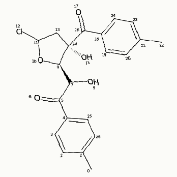 Cc1ccc(C(=O)C(O)[C@H]2OC(Cl)C[C@@]2(O)C(=O)c2ccc(C)cc2)cc1